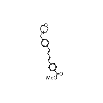 COC(=O)c1ccc(C=CC=Cc2ccc(CN3CCOCC3)cc2)cc1